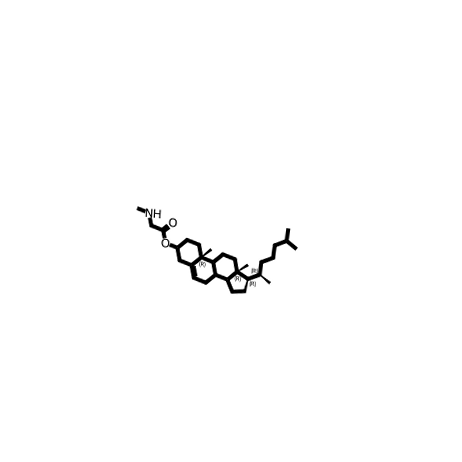 CNCC(=O)OC1CC[C@@]2(C)C(=CCC3C2CC[C@@]2(C)C3CC[C@@H]2[C@H](C)CCCC(C)C)C1